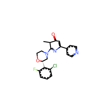 CC1C(=O)C=C(c2ccncc2)N=C1N1CCO[C@@H](c2c(F)cccc2Cl)C1